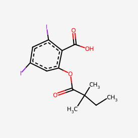 CCC(C)(C)C(=O)Oc1cc(I)cc(I)c1C(=O)O